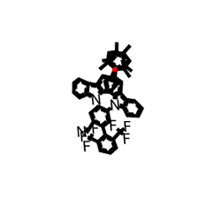 Cc1cc(C)c(-c2ccc3c(c2)c2ccccc2n3-c2cc(C#N)c(-c3c(C(F)(F)F)cccc3C(F)(F)F)cc2-n2c3ccccc3c3cc(-c4c(C)cc(C)cc4C)ccc32)c(C)c1